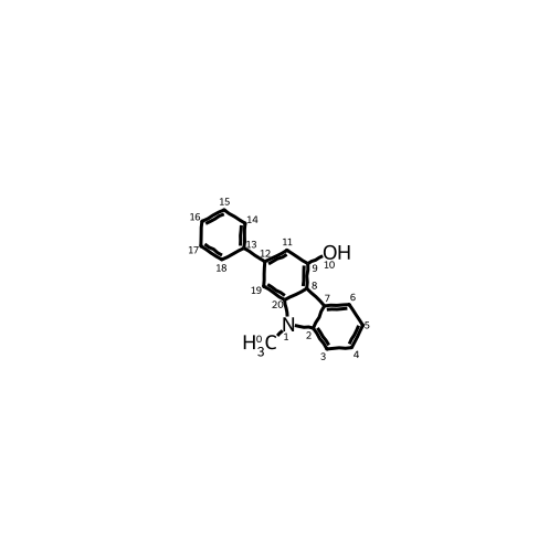 Cn1c2ccccc2c2c(O)cc(-c3ccccc3)cc21